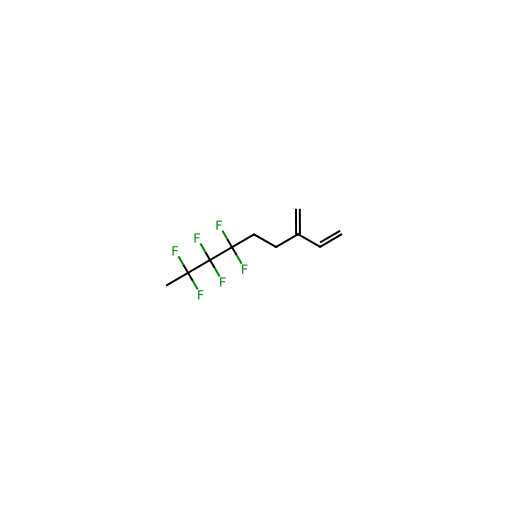 C=CC(=C)CCC(F)(F)C(F)(F)C(C)(F)F